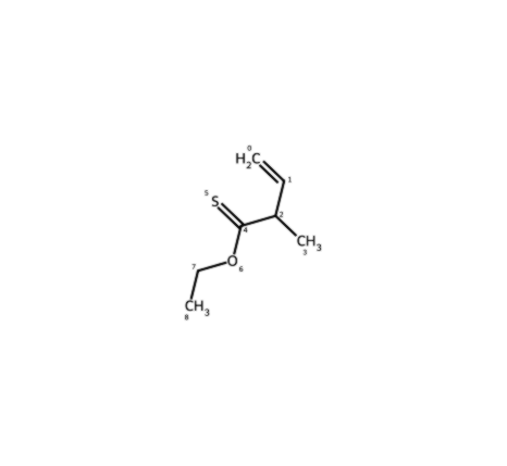 C=CC(C)C(=S)OCC